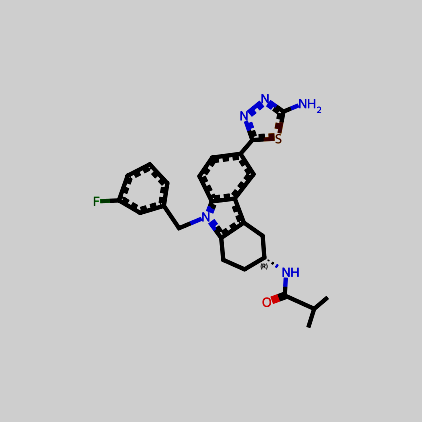 CC(C)C(=O)N[C@@H]1CCc2c(c3cc(-c4nnc(N)s4)ccc3n2Cc2cccc(F)c2)C1